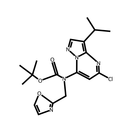 CC(C)c1cnn2c(N(Cc3ncco3)C(=O)OC(C)(C)C)cc(Cl)nc12